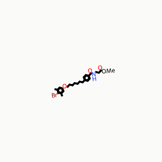 COC(=O)CCNC(=O)c1ccc(CCCCCCCOc2cc(C)c(Br)c(C)c2)cc1